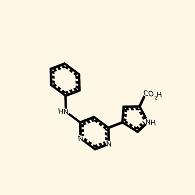 O=C(O)c1cc(-c2cc(Nc3ccccc3)ncn2)c[nH]1